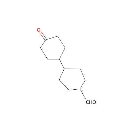 O=CC1CCC(C2CCC(=O)CC2)CC1